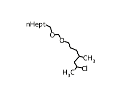 CCCCCCCCOCOCCCC(C)CC(C)Cl